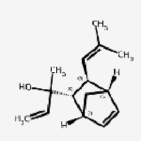 C=CC(C)(O)[C@@H]1[C@@H](C=C(C)C)[C@@H]2C=C[C@H]1C2